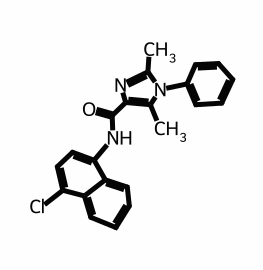 Cc1nc(C(=O)Nc2ccc(Cl)c3ccccc23)c(C)n1-c1ccccc1